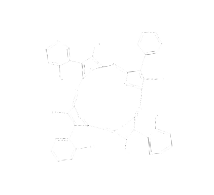 CC(C)(C)C1=C(c2ccccc2)c2nc1nc1[nH]c(nc3nc(nc4[nH]c(n2)c(C(C)(C)C)c4-c2ccccc2O)C(C(C)(C)C)=C3c2ccccc2O)c(C(C)(C)C)c1-c1ccccc1O